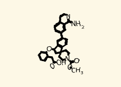 COC(=O)N1CCC2(CC1)CC(Oc1ccccc1CC(=O)O)c1cc(-c3ccc4ccnc(N)c4c3)ccc12